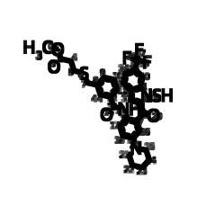 COC(=O)CCSCc1cccc(C(=O)Nc2ccc(N3CCCCC3)cc2C(=O)c2cc3ccc(C(F)(F)F)cc3n2S)c1